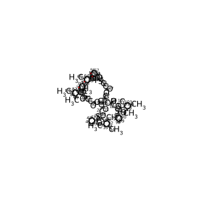 Cc1cc(C)c(C(=O)P(=O)(SCCC(=O)OCC2(COC(=O)CCSP(=O)(C(=O)c3c(C)cc(C)cc3C)c3ccccc3)COC(=O)CCSP(=O)(c3ccccc3)C(=O)c3c(C)cc(C)cc3-c3ccccc3P(=O)(C(=O)c3c(C)cc(C)cc3C)SCCC(=O)OC2)c2ccccc2)c(C)c1